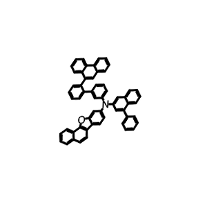 c1ccc(-c2cc(N(c3cccc(-c4ccccc4-c4cc5ccccc5c5ccccc45)c3)c3ccc4c(c3)oc3c5ccccc5ccc43)cc3ccccc23)cc1